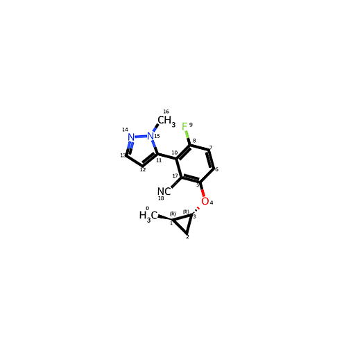 C[C@@H]1C[C@H]1Oc1ccc(F)c(-c2ccnn2C)c1C#N